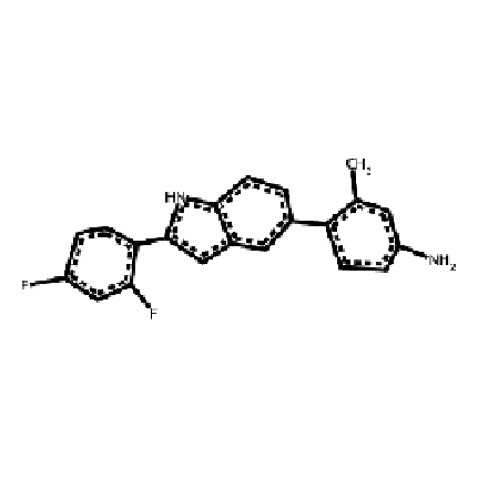 Cc1cc(N)ccc1-c1ccc2[nH]c(-c3ccc(F)cc3F)cc2c1